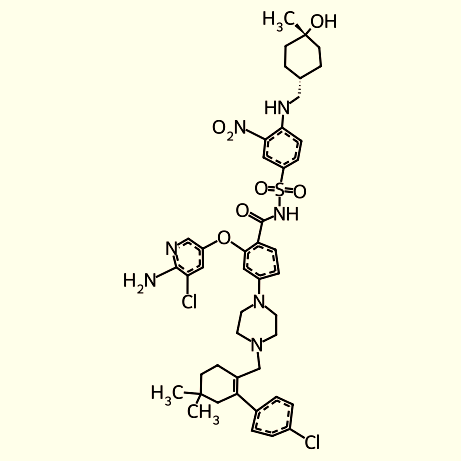 CC1(C)CCC(CN2CCN(c3ccc(C(=O)NS(=O)(=O)c4ccc(NC[C@H]5CC[C@@](C)(O)CC5)c([N+](=O)[O-])c4)c(Oc4cnc(N)c(Cl)c4)c3)CC2)=C(c2ccc(Cl)cc2)C1